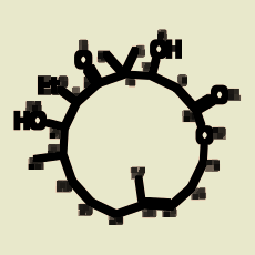 CCC1C(=O)C(C)(C)C(O)CC(=O)OCC/C=C(\C)CCCC(C)C1O